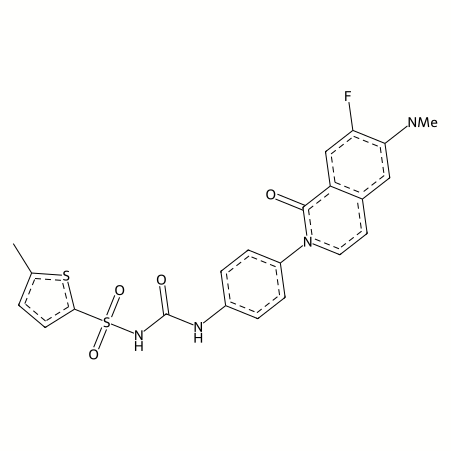 CNc1cc2ccn(-c3ccc(NC(=O)NS(=O)(=O)c4ccc(C)s4)cc3)c(=O)c2cc1F